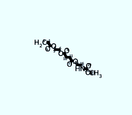 C=CC(=O)OCCOC(=O)CCC(=O)OCCNC(=O)OC